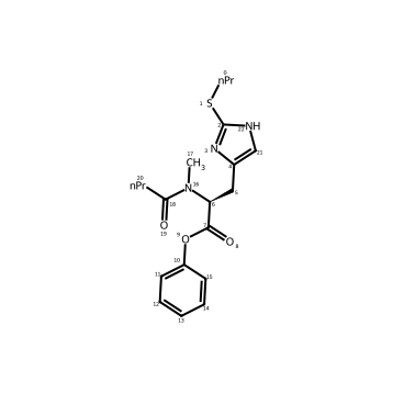 CCCSc1nc(C[C@@H](C(=O)Oc2ccccc2)N(C)C(=O)CCC)c[nH]1